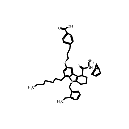 CCCCCCCc1cc(OCCCc2ccc(C(=O)O)cc2)cc2c3c(n(Cc4ccccc4CC)c12)CCCC3C(=O)NN.c1cc2cc-2c1